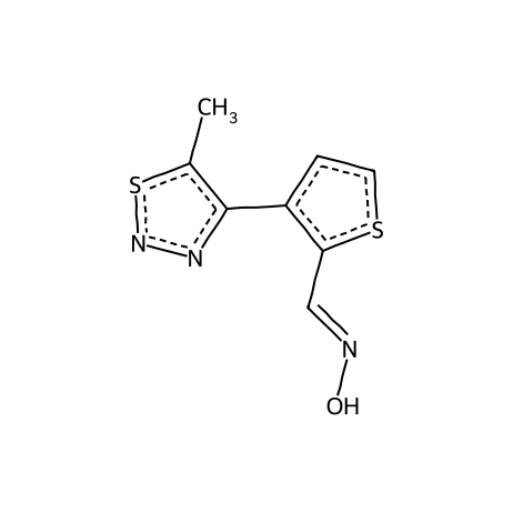 Cc1snnc1-c1ccsc1/C=N/O